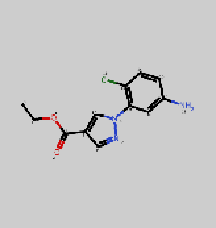 CCOC(=O)c1cnn(-c2cc(N)ccc2Cl)c1